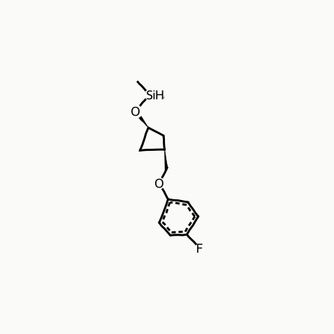 C[SiH](C)O[C@H]1C[C@@H](COc2ccc(F)cc2)C1